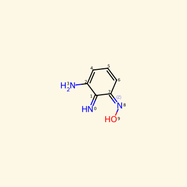 N=C1C(N)=CC=C/C1=N/O